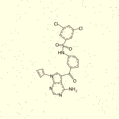 Nc1ncnc2c1c(C(=O)c1cccc(NS(=O)(=O)c3cc(Cl)cc(Cl)c3)c1)cn2C1=CC=C1